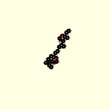 c1ccc(C2(c3ccccc3)c3ccc4ccccc4c3-c3c2cc(-c2c4ccccc4c(-c4ccc5cc(-c6ccc7cc(-c8ccc(-c9c%10ccccc%10c(-c%10ccc%11ccccc%11c%10)c%10ccccc9%10)c9c8oc8ccccc89)c8ccccc8c7c6)ccc5c4)c4ccccc24)c2c3oc3ccccc32)cc1